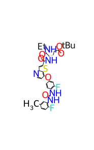 CCNC(=O)[C@H](CCC(=O)OC(C)(C)C)NC(=O)c1cc2nccc(Oc3ccc(NC(=O)Nc4cc(C)ccc4F)c(F)c3)c2s1